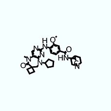 COc1cc(C(=O)NC2CN3CCC2CC3)ccc1Nc1ncc2c(n1)N(C1CCCC1)CC1(CCC1)C(=O)N2C